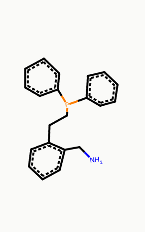 NCc1ccccc1CCP(c1ccccc1)c1ccccc1